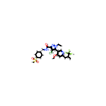 CCn1nc(C(=O)NC[C@H]2CC[C@H](S(C)(=O)=O)CC2)c(Cl)c1-c1cnc(CC(C)C(F)(F)F)cc1OC